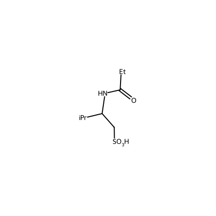 CCC(=O)NC(CS(=O)(=O)O)C(C)C